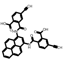 C#Cc1ccc(C(=O)Nc2cc(NC(=O)c3cc(C#C)ccc3C(=O)O)c3ccc4cccc5ccc2c3c54)c(C(=O)O)c1